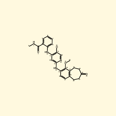 CNC(=O)c1ccccc1Nc1nc(Nc2ccc3c(c2OC)CCC(=O)CC3)ncc1Cl